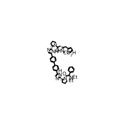 CCN(CC)[C@@H](C(=O)N1CCC[C@H]1c1ncc(-c2ccc(-c3ccc(-c4cnc([C@@H]5CCCN5C(=O)C[C@H](Cc5cccs5)NC(=O)O)[nH]4)cc3)cc2)[nH]1)c1ccccc1